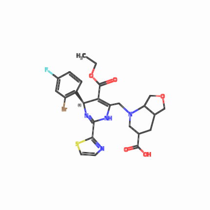 CCOC(=O)C1=C(CN2CC(C(=O)O)CC3COCC32)NC(c2nccs2)=N[C@H]1c1ccc(F)cc1Br